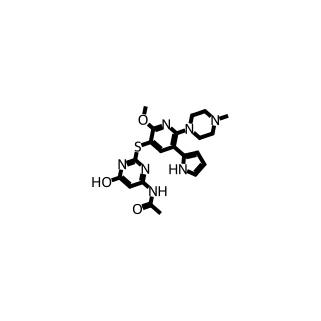 COc1nc(N2CCN(C)CC2)c(-c2ccc[nH]2)cc1Sc1nc(O)cc(NC(C)=O)n1